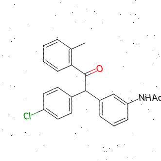 CC(=O)Nc1cccc(C(C(=O)c2ccc[c]c2C)c2ccc(Cl)cc2)c1